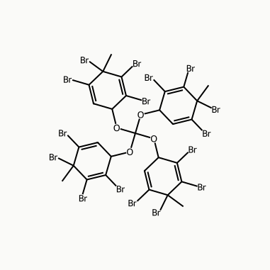 CC1(Br)C(Br)=CC(OC(OC2C=C(Br)C(C)(Br)C(Br)=C2Br)(OC2C=C(Br)C(C)(Br)C(Br)=C2Br)OC2C=C(Br)C(C)(Br)C(Br)=C2Br)C(Br)=C1Br